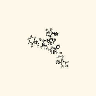 Cc1ccccc1N1CCN(c2ccc(C(=O)NCCCN3CCCC3=O)cc2NC(=O)c2occc2Br)CC1